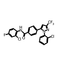 O=C(Nc1ccc(F)cc1Cl)c1ccc(-c2cc(C(F)(F)F)nn2-c2ccccc2Cl)cc1